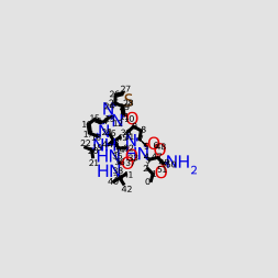 CCC[C@H](NC(=O)[C@@H]1C[C@@H](Oc2nc(-c3cccc(NC(C)C)n3)nc3ccsc23)CN1C(=O)[C@@H](NC(=O)NC(C)(C)C)C(C)(C)C)C(=O)C(N)=O